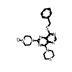 [O-][S+]1CCN(c2nc(N3CCSCC3)c3ncnc(SCc4ccccc4)c3n2)CC1